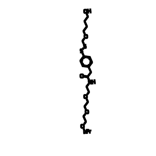 CCCOCCOCCOCCNC(=O)Cc1ccc(SSCOCCCCO)cc1